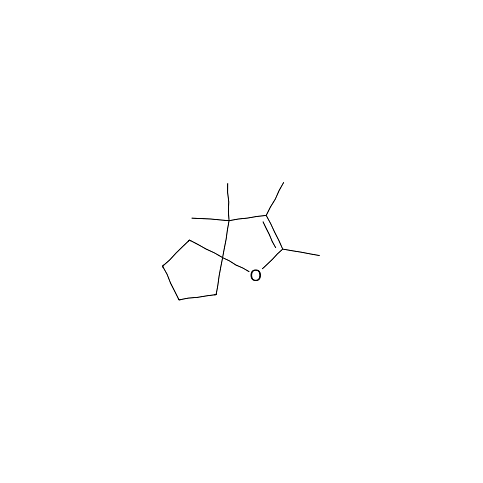 CC1=C(C)C(C)(C)C2(CCCC2)O1